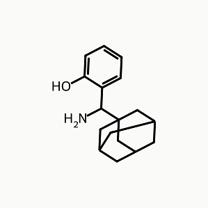 NC(c1ccccc1O)C12CC3CC(CC(C3)C1)C2